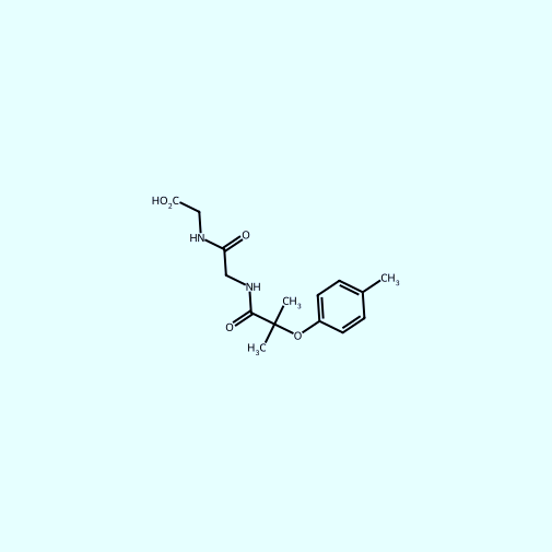 Cc1ccc(OC(C)(C)C(=O)NCC(=O)NCC(=O)O)cc1